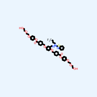 O=C(Oc1ccc(OCCOCCO)cc1)C1CCC(COc2ccc(OCC3CCC(C(=O)Oc4ccc(OCCOCCO)cc4)CC3)c(/C=N/N(CCCC(F)(F)F)c3nc4ccccc4s3)c2)CC1